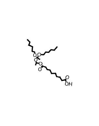 CCCCCCOC(C)(OCCCCCC)OC(C)OC(=O)CCCCCCCCC(=O)O